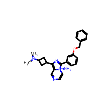 CN(C)C1CC(C2=C3C=NC=C[N+]3(N)C(c3cccc(OCc4ccccc4)c3)=N2)C1